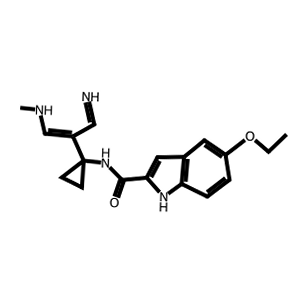 CCOc1ccc2[nH]c(C(=O)NC3(/C(C=N)=C/NC)CC3)cc2c1